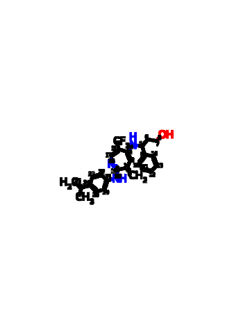 C=C1C=C(NC(CCO)c2ccccc2)C(C(F)(F)F)=CN=C1Nc1ccc(C(=C)C)cc1